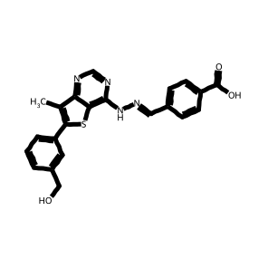 Cc1c(-c2cccc(CO)c2)sc2c(NN=Cc3ccc(C(=O)O)cc3)ncnc12